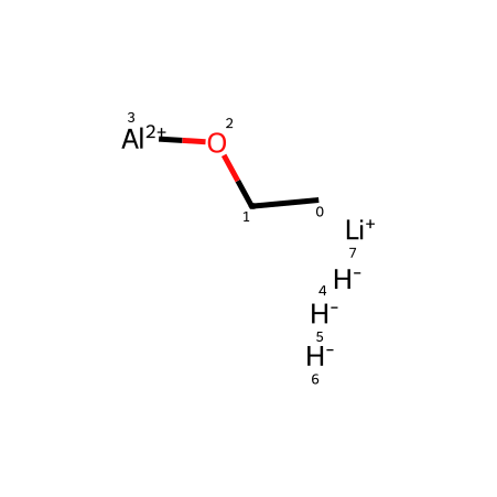 CC[O][Al+2].[H-].[H-].[H-].[Li+]